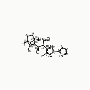 Cc1sc(-c2cccs2)nc1C(C=O)C(=O)[C@H]1[C@@H](C)[C@@H]2CC[C@H]1O2